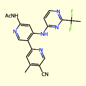 CC(=O)Nc1cc(Nc2ccnc(C(C)(F)F)n2)c(-c2cc(C)c(C#N)cn2)cn1